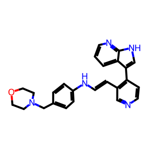 C(=C\c1cnccc1-c1c[nH]c2ncccc12)/Nc1ccc(CN2CCOCC2)cc1